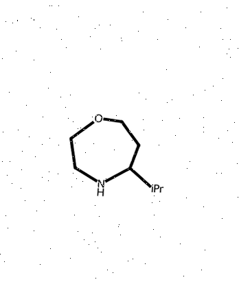 CC(C)C1CCOCCN1